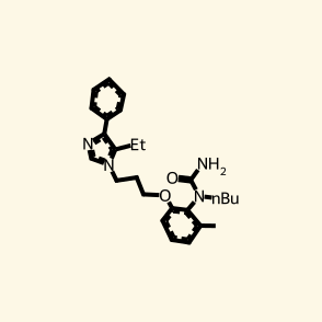 CCCCN(C(N)=O)c1c(C)cccc1OCCCn1cnc(-c2ccccc2)c1CC